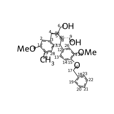 COc1cc(C[C@@H](CO)[C@H](CO)Cc2ccc(OCc3ccccc3)c(OC)c2)ccc1C